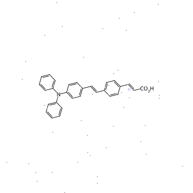 O=C(O)/C=C/c1ccc(C=Cc2ccc(N(c3ccccc3)c3ccccc3)cc2)cc1